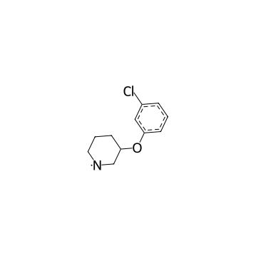 Clc1cccc(OC2CCC[N]C2)c1